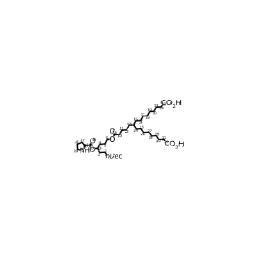 CCCCCCCCCCCCC(CCCOC(=O)CCCCC(CCCCCCCCC(=O)O)CCCCCCCCC(=O)O)OC(=O)[C@@H]1CCCN1